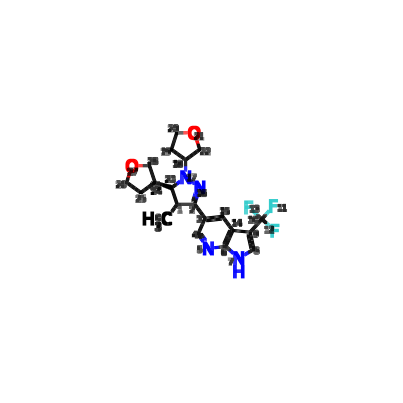 CC1C(c2cnc3[nH]cc(C(F)(F)F)c3c2)=NN(C2CCOC2)C1[C@H]1CCOC1